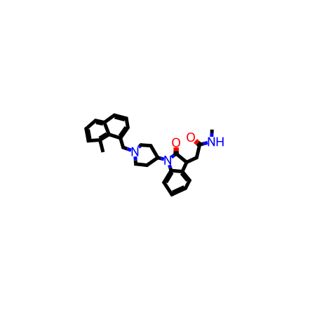 CNC(=O)CC1C(=O)N(C2CCN(Cc3cccc4cccc(C)c34)CC2)c2ccccc21